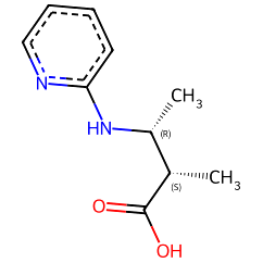 C[C@H](C(=O)O)[C@@H](C)Nc1ccccn1